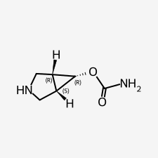 NC(=O)O[C@@H]1[C@@H]2CNC[C@@H]21